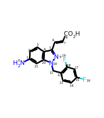 Nc1ccc2c(C=CC(=O)O)nn(Cc3ccc(F)cc3F)c2c1